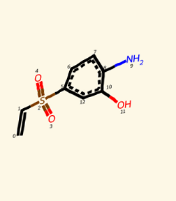 C=CS(=O)(=O)c1ccc(N)c(O)c1